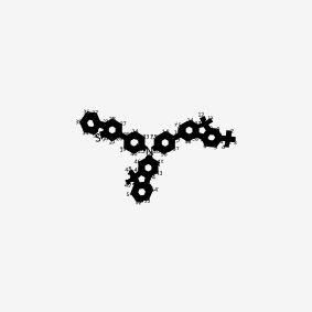 CC(C)(C)c1ccc2c(c1)C(C)(C)c1ccc(-c3ccc(N(c4ccc(-c5ccc6c(c5)sc5ccccc56)cc4)c4ccc5c(c4)C(C)(C)c4ccccc4-5)cc3)cc1-2